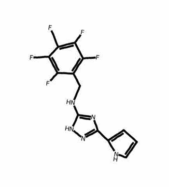 Fc1c(F)c(F)c(CNc2nc(-c3ccc[nH]3)n[nH]2)c(F)c1F